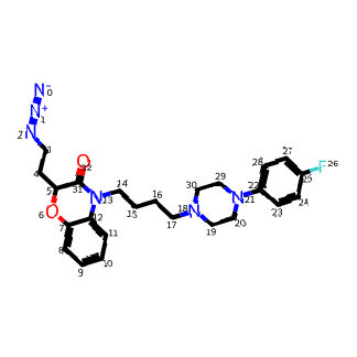 [N-]=[N+]=NCCC1Oc2ccccc2N(CCCCN2CCN(c3ccc(F)cc3)CC2)C1=O